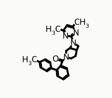 Cc1ccc(-c2ccccc2C(=O)N2CCC3CN(c4nc(C)cc(C)n4)C3C2)cc1